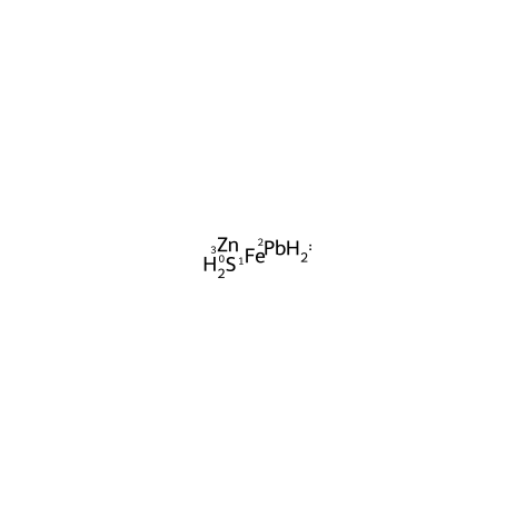 S.[Fe].[PbH2].[Zn]